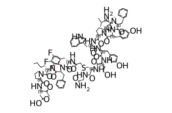 CCCC[C@@H](C(=O)N1CCC[C@@H]1C(=O)N[C@@H](CC(=O)O)C(C)=O)N(C)C(=O)C(Cc1ccccc1)N(C)C(=O)[C@H](Cc1cc(F)c(F)c(F)c1)NC(=O)CSC[C@H](NC(=O)[C@H](CCO)NC(=O)[C@H](Cc1ccc(O)cc1)NC(=O)[C@H](Cc1c[nH]c2ccccc12)NC(=O)[C@H]1CCCN1C(=O)[C@H](Cc1ccc(O)cc1)NC(=O)[C@H](Cc1ccccc1)N(C)C(=O)[C@@H](N)C(C)C)C(=O)NCC(N)=O